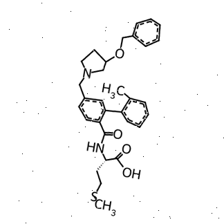 CSCC[C@H](NC(=O)c1ccc(CN2CCC(OCc3ccccc3)C2)cc1-c1ccccc1C)C(=O)O